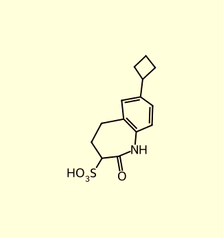 O=C1Nc2ccc(C3CCC3)cc2CCC1S(=O)(=O)O